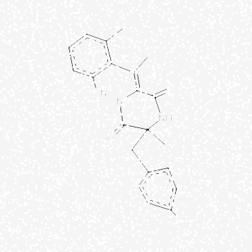 CC(=C1NC(=O)C(C)(Cc2ccc(F)cc2)NC1=O)c1c(C)cccc1C#N